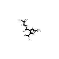 Cn1cc(C(=O)NNC(N)=S)c(C(F)F)n1